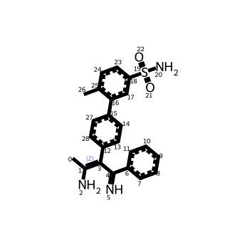 C/C(N)=C(/C(=N)c1ccccc1)c1ccc(-c2cc(S(N)(=O)=O)ccc2C)cc1